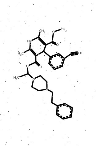 C#Cc1cccc(C2C(C(=O)OC)=C(C)NC(C)=C2C(=O)OC(C)N2CCN(CCc3ccccc3)CC2)c1